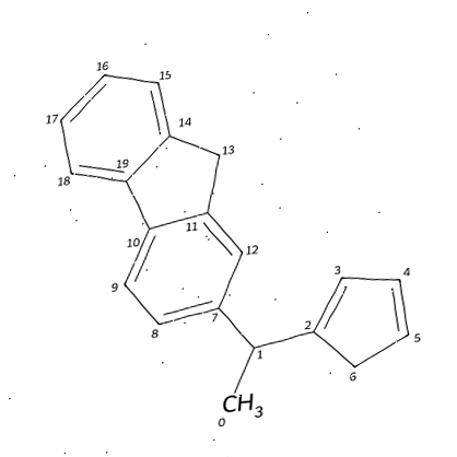 CC(C1=CC=CC1)c1ccc2c(c1)Cc1ccccc1-2